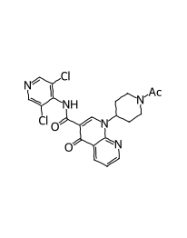 CC(=O)N1CCC(n2cc(C(=O)Nc3c(Cl)cncc3Cl)c(=O)c3cccnc32)CC1